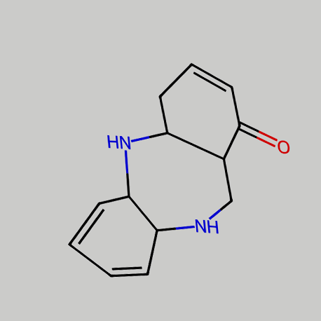 O=C1C=CCC2NC3C=CC=CC3NCC12